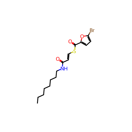 CCCCCCCCNC(=O)C=CSC(=O)c1ccc(Br)o1